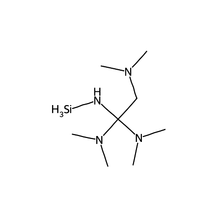 CN(C)CC(N[SiH3])(N(C)C)N(C)C